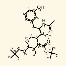 CC(=O)NC(Cc1cccc(O)c1)C(O)C1COC(OCC(C)(C)C)C(C)N1C(=O)OC(C)(C)C